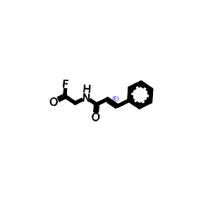 O=C(F)CNC(=O)/C=C/c1ccccc1